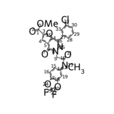 COC(=O)c1cc2c(=O)n(CC(=O)N(C)c3ccc4c(c3)OC(F)(F)O4)nc(-c3cccc(Cl)c3)c2o1